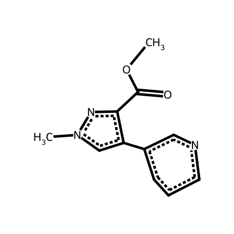 COC(=O)c1nn(C)cc1-c1cccnc1